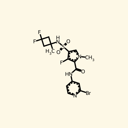 Cn1cc(S(=O)(=O)NC2(C)CC(F)(F)C2)c(F)c1C(=O)Nc1ccnc(Br)c1